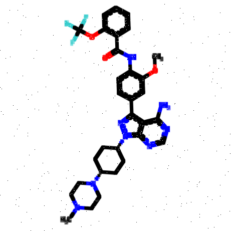 COc1cc(-c2nn([C@H]3CC[C@@H](N4CCN(C)CC4)CC3)c3ncnc(N)c23)ccc1NC(=O)c1ccccc1OC(F)(F)F